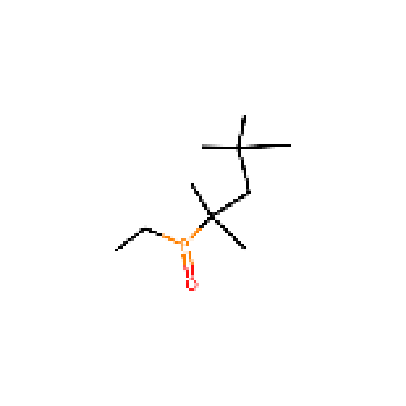 CC[P](=O)C(C)(C)CC(C)(C)C